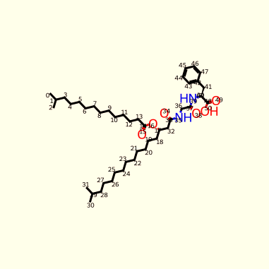 CC(C)CCCCCCCCCCCC(=O)OC(CCCCCCCCCCCC(C)C)CC(=O)NCC(=O)N[C@@H](Cc1ccccc1)C(=O)O